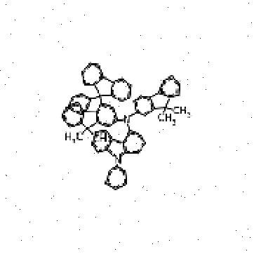 CC1(C)c2ccccc2-c2ccc(N(c3cc4c(c(C5(c6ccccc6)c6ccccc6-c6ccccc65)c3)-c3ccccc3C4(C)C)c3cccc4c3c3ccccc3n4-c3ccccc3)cc21